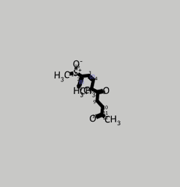 C/C=C(\C=C/C(C)C(=O)CCC(C)=O)[S+](C)[O-]